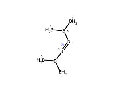 BB(B)/B=N/B(B)B